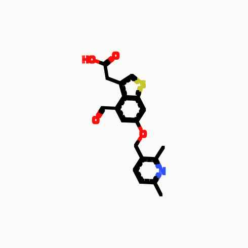 Cc1ccc(COc2cc(C=O)c3c(CC(=O)O)csc3c2)c(C)n1